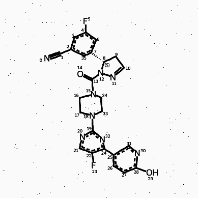 N#Cc1cc(F)cc([C@@H]2CC=NN2C(=O)N2CCN(c3ncc(F)c(-c4ccc(O)nc4)n3)CC2)c1